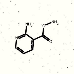 NOC(=O)c1cccnc1N